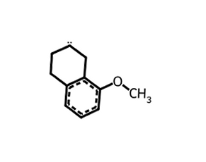 COc1cccc2c1C[C]CC2